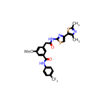 COc1cc(CC(=O)Nc2nc(-c3sc(C)nc3C)cs2)cc(C(=O)Nc2ccc(C(F)(F)F)cc2)c1